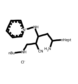 CCCCCCCC(N)CC(N[n+]1ccccc1)C(C#N)CNCCCC.[Cl-]